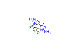 COc1ccc(C(F)(F)F)cc1-c1nc(N)nc(C)c1-c1ccc(N)nc1